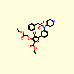 CCOC(=O)COc1c(C(=O)OCC)sc(-c2cccc(N(C3CCNCC3)S(=O)(=O)Cc3ccccc3)c2)c1Cl